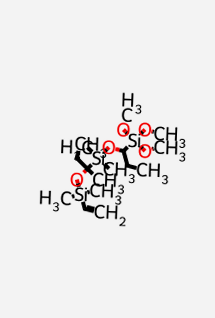 C=C[Si](C)(C)OC(C)(CC)[Si](C)(C)OC(CC)[Si](OC)(OC)OC